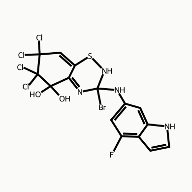 OC1(O)C2=NC(Br)(Nc3cc(F)c4cc[nH]c4c3)NSC2=CC(Cl)(Cl)C1(Cl)Cl